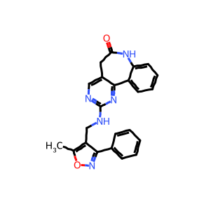 Cc1onc(-c2ccccc2)c1CNc1ncc2c(n1)-c1ccccc1NC(=O)C2